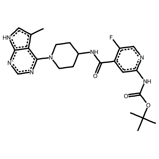 Cc1c[nH]c2ncnc(N3CCC(NC(=O)c4cc(NC(=O)OC(C)(C)C)ncc4F)CC3)c12